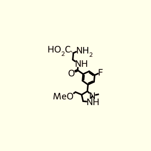 COCC1CNN(C)C1c1cc(F)cc(C(=O)NC[C@@H](N)C(=O)O)c1